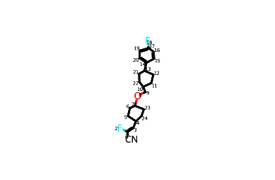 N#CC(F)=CC1CCC(OCC2CCC(c3ccc(F)cc3)CC2)CC1